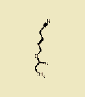 CCC(=O)OCC=CCC#N